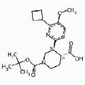 COc1ccc([C@@H]2CN(C(=O)OC(C)(C)C)CC[C@H]2C(=O)O)nc1C1CCC1